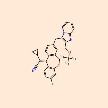 [2H]C([2H])([2H])OCc1nc2ccccn2c1Cc1ccc2c(c1)COc1cc(F)ccc1C2=C(C#N)C1CC1